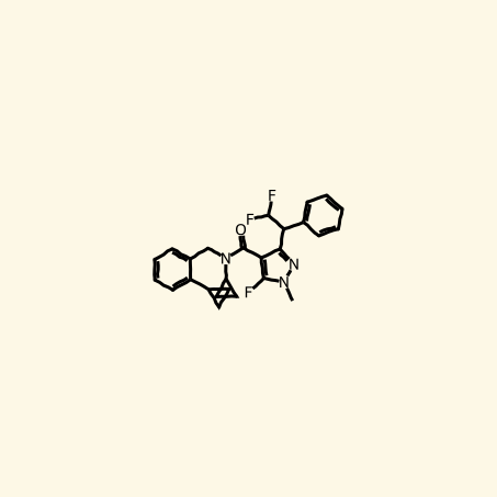 Cn1nc(C(c2ccccc2)C(F)F)c(C(=O)N(Cc2ccccc2C2CC2)C2CC2)c1F